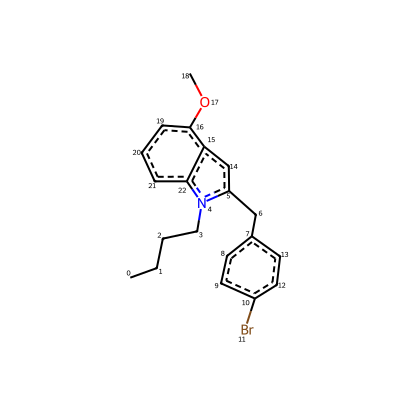 CCCCn1c(Cc2ccc(Br)cc2)cc2c(OC)cccc21